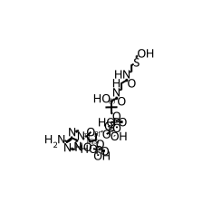 CC(C)(COP(=O)(O)OP(=O)(O)OC[C@H]1O[C@@H](n2cnc3c(N)ncnc32)[C@H](O)[C@@H]1OP(=O)(O)O)[C@@H](O)C(=O)NCCC(=O)NCCSCO